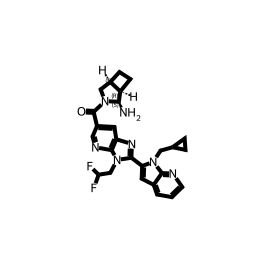 N[C@@H]1[C@@H]2CC[C@@H]2CN1C(=O)c1cnc2c(c1)nc(-c1cc3cccnc3n1CC1CC1)n2CC(F)F